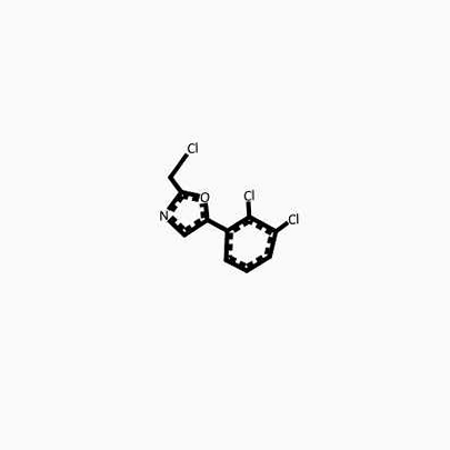 ClCc1ncc(-c2cccc(Cl)c2Cl)o1